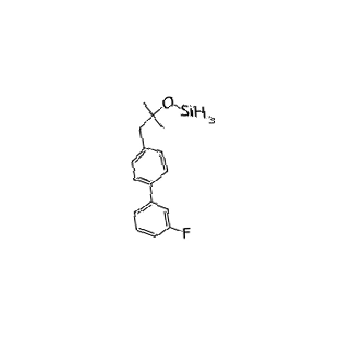 CC(C)(Cc1ccc(-c2cccc(F)c2)cc1)O[SiH3]